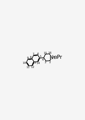 C[CH]CN1CCC(c2ccc3ccccc3c2)CC1